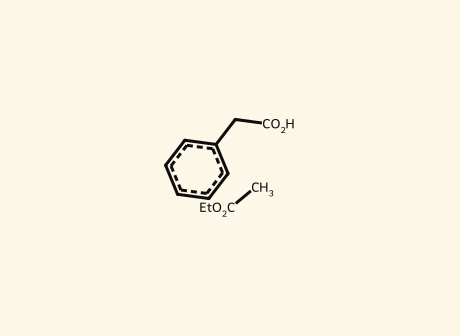 CCOC(C)=O.O=C(O)Cc1ccccc1